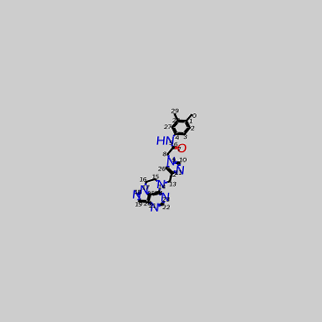 Cc1ccc(NC(=O)Cn2cnc(CN3CCn4ncc5ncnc3c54)c2)cc1C